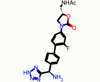 CC(=O)NC[C@H]1CN(c2ccc(-c3ccc([C@@H](N)c4nn[nH]n4)cc3)c(F)c2)C(=O)O1